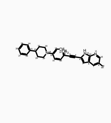 C=C(C#Cc1cc2cc(F)cnc2[nH]1)/C=C\C(=C/C)N1CCC(c2ccccc2)CC1